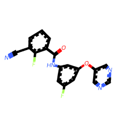 N#Cc1cccc(C(=O)Nc2cc(F)cc(Oc3cncnc3)c2)c1F